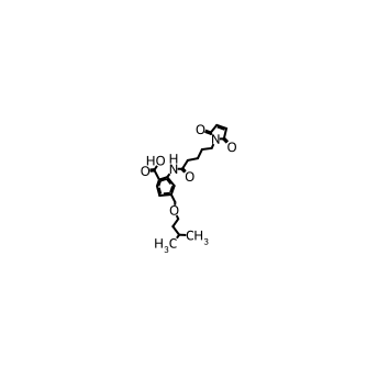 CC(C)CCOCc1ccc(C(=O)O)c(NC(=O)CCCCN2C(=O)C=CC2=O)c1